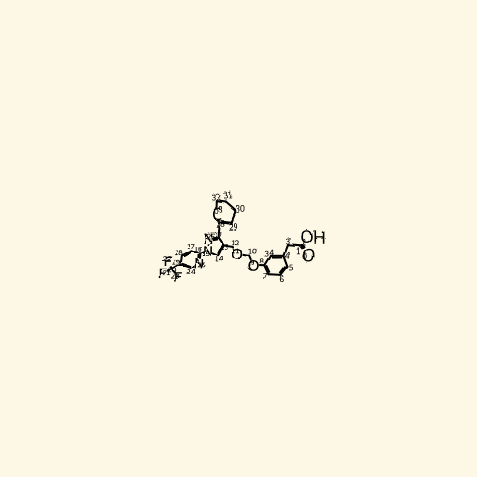 O=C(O)Cc1cccc(OCOCc2cn(-c3ccc(C(F)(F)F)cn3)nc2C2CCCCC2)c1